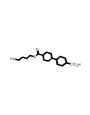 O=C(O)C1CCC(C2CCC(C(=O)OCCCCO)CC2)CC1